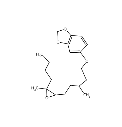 CCCCC1(C)OC1CCC(C)CCOc1ccc2c(c1)OCO2